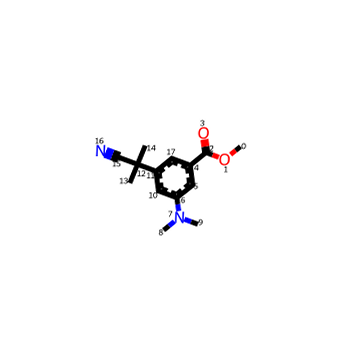 COC(=O)c1cc(N(C)C)cc(C(C)(C)C#N)c1